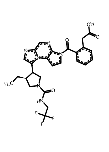 CC[C@@H]1CN(C(=O)NCC(F)(F)F)C[C@@H]1c1cnc2cnc3c(ccn3C(=O)c3ccccc3CC(=O)O)n12